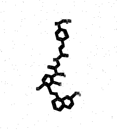 CCOC(=O)Nc1ccc(/C=C/C(=O)NCC(=O)N(C)c2ccc(Cl)c(COc3cccc4ccc(C)nc34)c2Cl)cc1